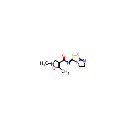 CC1=C(C(=O)N=C2SSC3=NCCN32)CN(C)O1